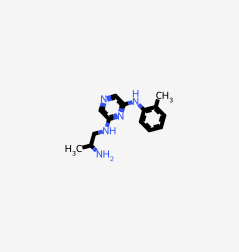 Cc1ccccc1Nc1cncc(NCC(C)N)n1